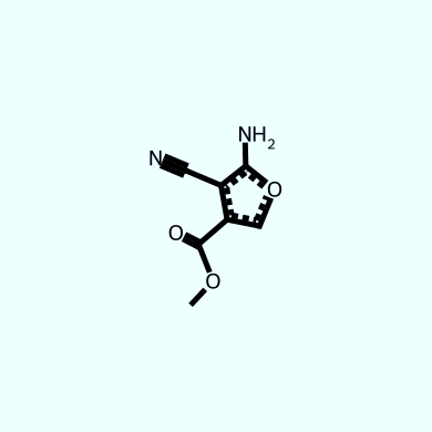 COC(=O)c1coc(N)c1C#N